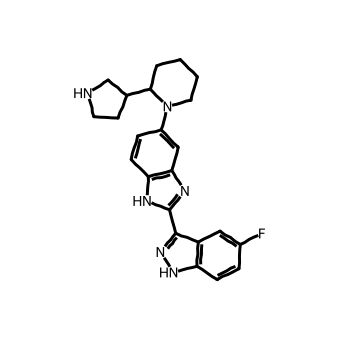 Fc1ccc2[nH]nc(-c3nc4cc(N5CCCCC5C5CCNC5)ccc4[nH]3)c2c1